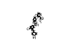 COC(=O)c1cc(Oc2ccc3oc(Nc4ccc(Cl)c(OCC5CCNCC5)c4)nc3c2)ccn1